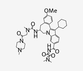 COc1ccc2c(c1)CC(NC(=O)N(C)CC(=O)N1CCN(C)CC1)Cn1c-2c(C2CCCCC2)c2ccc(C(=O)NS(=O)(=O)N(C)C)cc21